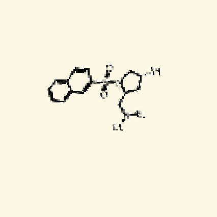 CCN(CC)C[C@@H]1C[C@@H](S)CN1S(=O)(=O)c1ccc2ccccc2c1